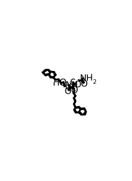 NC(=O)COC(C(=O)O)C(OCCCCCc1ccc2ccccc2c1)C(=O)NCCCCCc1ccc2ccccc2c1